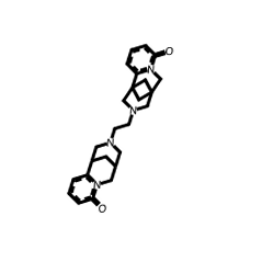 O=c1cccc2n1CC1CC2CN(CCN2CC34Cn5c(cccc5=O)C(C2)(C3)C4)C1